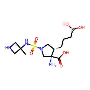 CC1(NS(=O)(=O)N2C[C@H](CCCB(O)O)[C@](N)(C(=O)O)C2)CNC1